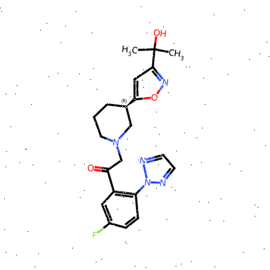 CC(C)(O)c1cc([C@@H]2CCCN(CC(=O)c3cc(F)ccc3-n3nccn3)C2)on1